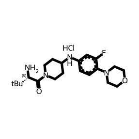 CC(C)(C)[C@H](N)C(=O)N1CCC(Nc2ccc(N3CCOCC3)c(F)c2)CC1.Cl